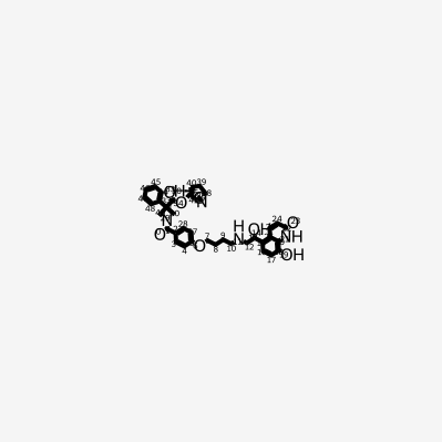 O=C(c1ccc(OCCCCNCC(O)c2ccc(O)c3[nH]c(=O)ccc23)cc1)N1CC(C(=O)O[C@H]2CN3CCC2CC3)(c2ccccc2)C1